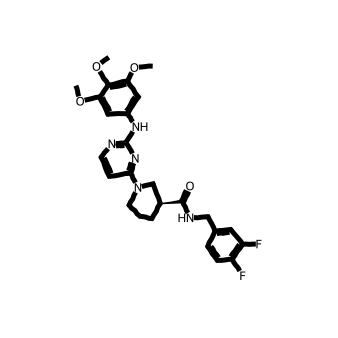 COc1cc(Nc2nccc(N3CCC[C@H](C(=O)NCc4ccc(F)c(F)c4)C3)n2)cc(OC)c1OC